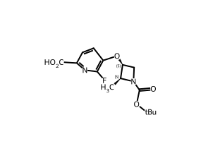 C[C@H]1[C@@H](Oc2ccc(C(=O)O)nc2F)CN1C(=O)OC(C)(C)C